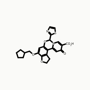 O=C(O)c1cn2c(cc1=O)-c1c(cc(OCC3CCCC3)c3c1CCO3)OC2c1nccs1